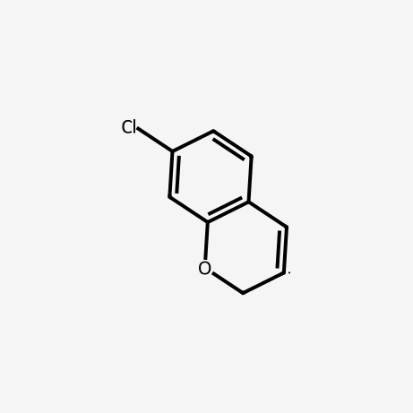 Clc1ccc2c(c1)OC[C]=C2